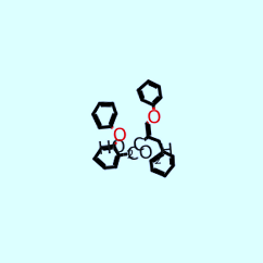 O=C(O)C(=COc1ccccc1)Cc1ccccc1.O=C(O)c1ccccc1Oc1ccccc1